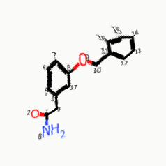 NC(=O)Cc1cccc(OCc2ccccc2)c1